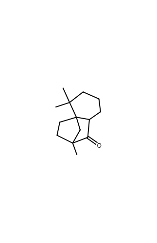 CC12CCC3(C1)C(CCCC3(C)C)C2=O